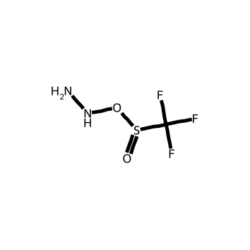 NNOS(=O)C(F)(F)F